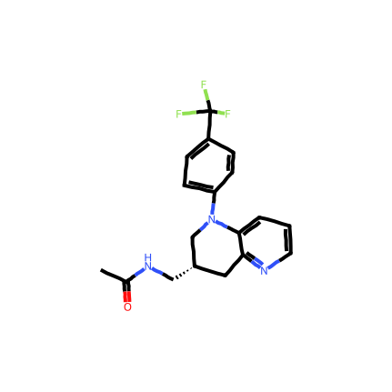 CC(=O)NC[C@H]1Cc2ncccc2N(c2ccc(C(F)(F)F)cc2)C1